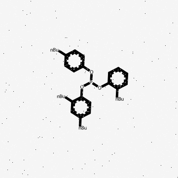 CCCCc1ccc(OP(Oc2ccccc2CCCC)Oc2ccc(CCCC)cc2CCCC)cc1